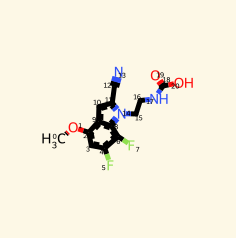 COc1cc(F)c(F)c2c1cc(C#N)n2CCNC(=O)O